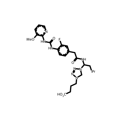 COc1cccnc1NC(=O)Nc1ccc(CC(=O)NC(CC(C)C)N2CN(CCCC(=O)O)N=N2)cc1F